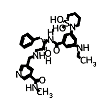 CCNc1cc(C(=O)N[C@@H](Cc2ccccc2)[C@H](O)CNCc2cncc(C(=O)NC)c2)cc(N2CCCCS2(O)O)c1